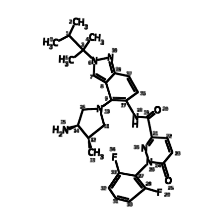 CC(C)C(C)(C)n1cc2c(N3C[C@@H](C)[C@@H](N)C3)c(NC(=O)c3ccc(=O)n(-c4c(F)cccc4F)n3)ccc2n1